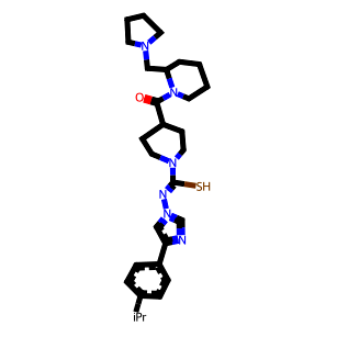 CC(C)c1ccc(-c2cn(/N=C(\S)N3CCC(C(=O)N4CCCCC4CN4CCCC4)CC3)cn2)cc1